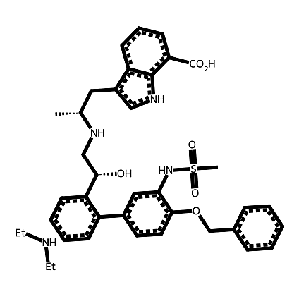 CCNCC.C[C@H](Cc1c[nH]c2c(C(=O)O)cccc12)NC[C@H](O)c1ccccc1-c1ccc(OCc2ccccc2)c(NS(C)(=O)=O)c1